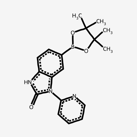 CC1(C)OB(c2ccc3[nH]c(=O)n(-c4ccccn4)c3c2)OC1(C)C